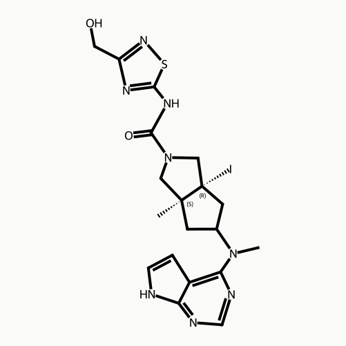 CN(c1ncnc2[nH]ccc12)C1C[C@@]2(C)CN(C(=O)Nc3nc(CO)ns3)C[C@@]2(I)C1